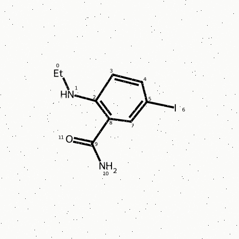 CCNc1ccc(I)cc1C(N)=O